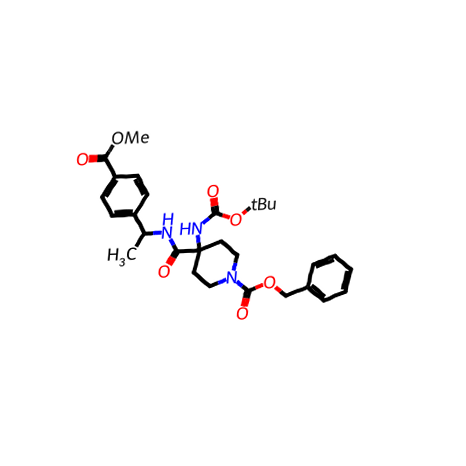 COC(=O)c1ccc(C(C)NC(=O)C2(NC(=O)OC(C)(C)C)CCN(C(=O)OCc3ccccc3)CC2)cc1